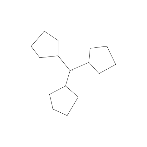 C1CCC([C](C2CCCC2)C2CCCC2)C1